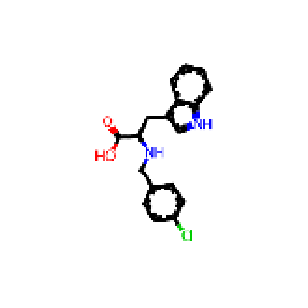 O=C(O)C(Cc1c[nH]c2ccccc12)NCc1ccc(Cl)cc1